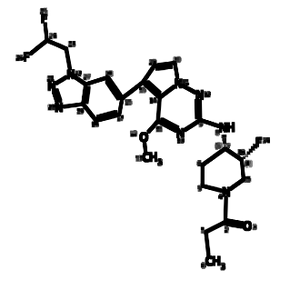 CCC(=O)N1CC[C@H](Nc2nc(OC)c3c(-c4ccc5nnn(CC(F)F)c5c4)ccn3n2)[C@H](F)C1